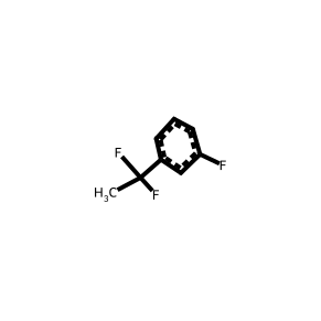 CC(F)(F)c1cccc(F)c1